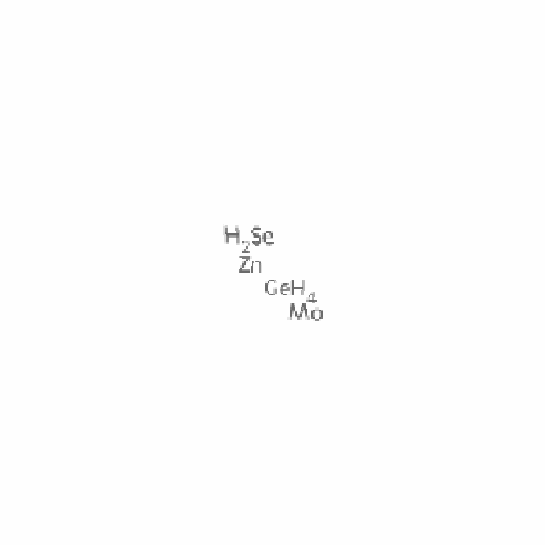 [GeH4].[Mo].[SeH2].[Zn]